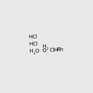 Cl.Cl.Cl.O.O.[Rh]